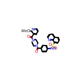 COc1ncccc1C(=O)N1CCN(C(=O)c2ccc(NS(=O)(=O)c3cccc4cccnc34)cc2)CC1